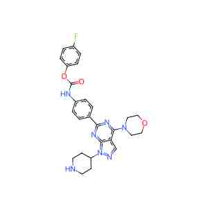 O=C(Nc1ccc(-c2nc(N3CCOCC3)c3cnn(C4CCNCC4)c3n2)cc1)Oc1ccc(F)cc1